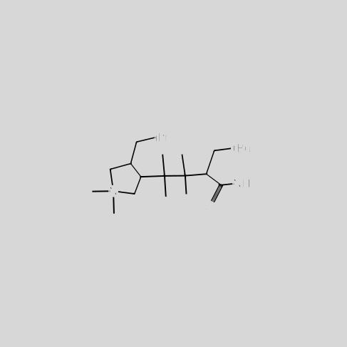 CC(C)CC1C[N+](C)(C)CC1C(C)(C)C(C)(C)C(CC(C)(C)C)C(N)=O